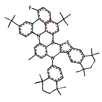 Cc1cc2c3c(c1)N(c1ccc4c(c1)C(C)(C)CCC4(C)C)c1c(sc4cc5c(cc14)C(C)(C)CCC5(C)C)B3c1cc(C(C)(C)C)ccc1N2c1ccc(C(C)(C)C)cc1-c1ccccc1F